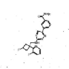 CNC(=O)c1cccc(-c2cnc(NC[C@]3(c4ncccc4F)C[C@H](F)C3)nn2)c1